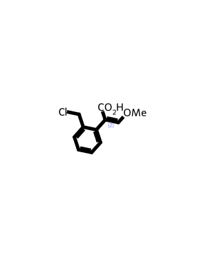 CO/C=C(\C(=O)O)c1ccccc1CCl